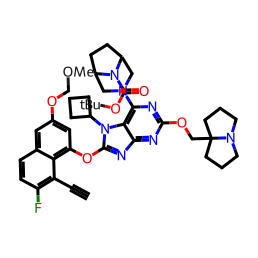 C#Cc1c(F)ccc2cc(OCOC)cc(Oc3nc4nc(OCC56CCCN5CCC6)nc(N5CC6CCC(C5)N6C(=O)OC(C)(C)C)c4n3C3CCC3)c12